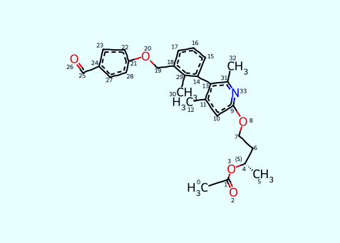 CC(=O)O[C@@H](C)CCOc1cc(C)c(-c2cccc(COc3ccc(C=O)cc3)c2C)c(C)n1